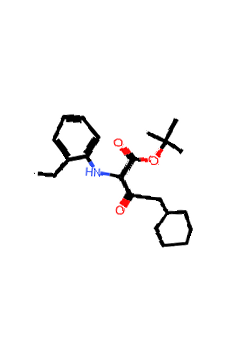 [CH2]Cc1ccccc1NC(C(=O)CC1CCCCC1)C(=O)OC(C)(C)C